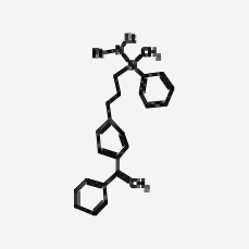 C=C(c1ccccc1)c1ccc(CCC[Si](C)(c2ccccc2)N(CC)CC)cc1